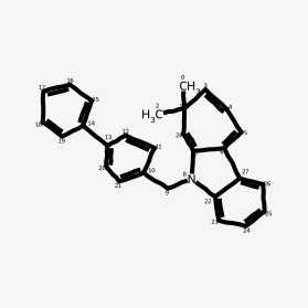 CC1(C)C=CC=c2c(n(Cc3ccc(-c4ccccc4)cc3)c3ccccc23)=C1